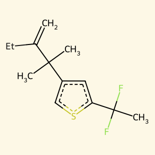 C=C(CC)C(C)(C)c1csc(C(C)(F)F)c1